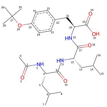 CC(=O)N[C@@H](CC(C)C)C(=O)N[C@@H](CC(C)C)C(=O)N[C@@H](Cc1ccc(OC(C)(C)C)cc1)C(=O)O